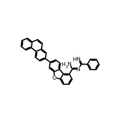 N=C(/N=C(\N)c1cccc2oc3cc(-c4ccc5c(ccc6ccccc65)c4)ccc3c12)c1ccccc1